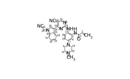 C=CC(=O)Nc1cc(N2CCN(C)CC2)ccc1Nc1ncc(C#N)c(-c2cn(CC#N)c3ccccc23)n1